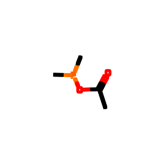 CC(=O)OP(C)C